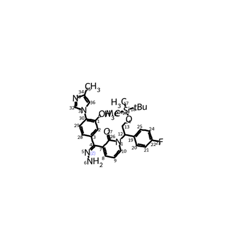 COc1cc(/C(=N/N)c2cccn(C(CO[Si](C)(C)C(C)(C)C)c3ccc(F)cc3)c2=O)ccc1-n1cnc(C)c1